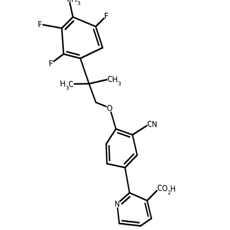 Cc1c(F)cc(C(C)(C)COc2ccc(-c3ncccc3C(=O)O)cc2C#N)c(F)c1F